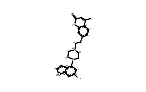 CC1=CC(=O)[N]c2cc(CCN3CCN(c4cc(F)cc5sccc45)CC3)ccc21